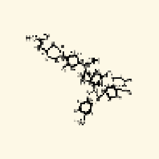 CCCCOc1nc(N(Cc2ccc(OC)cc2)Cc2ccc(OC)cc2)c2ncc(C(O)c3cnc(N4CCC(NC(=O)O)CC4)c(C)c3)n2n1